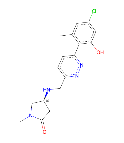 Cc1cc(Cl)cc(O)c1-c1ccc(CN[C@H]2CC(=O)N(C)C2)nn1